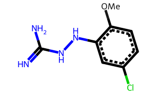 COc1ccc(Cl)cc1NNC(=N)N